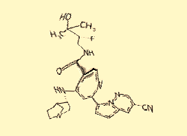 CC(C)(O)[C@H](F)CNC(=O)c1cnc(-c2ccc3cc(C#N)cnn23)cc1N[C@@H]1CN2CCC1C2